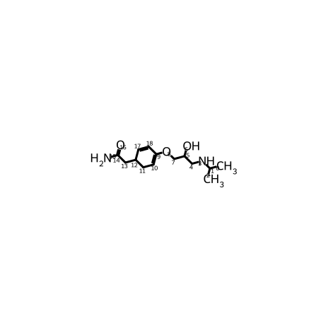 CC(C)NCC(O)COC1=CCC(CC(N)=O)C=C1